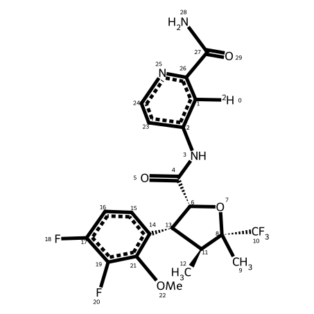 [2H]c1c(NC(=O)[C@@H]2O[C@](C)(C(F)(F)F)[C@@H](C)[C@@H]2c2ccc(F)c(F)c2OC)ccnc1C(N)=O